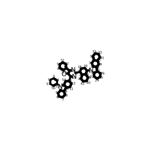 C1=CC(n2c3ccccc3c3ccc(-c4nc(-c5ccc(-n6c7ccccc7c7cc8ccccc8cc76)c6ccccc56)nc5c4oc4ccccc45)cc32)=CCC1